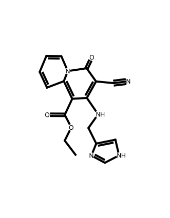 CCOC(=O)c1c(NCc2c[nH]cn2)c(C#N)c(=O)n2ccccc12